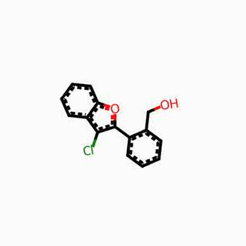 OCc1ccccc1-c1oc2ccccc2c1Cl